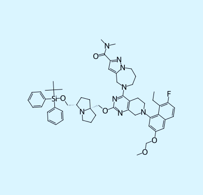 CCc1c(F)ccc2cc(OCOC)cc(N3CCc4c(nc(OC[C@]56CCCN5[C@H](CO[Si](c5ccccc5)(c5ccccc5)C(C)(C)C)CC6)nc4N4CCCn5nc(C(=O)N(C)C)cc5C4)C3)c12